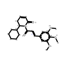 COc1cc(/C=C/C(=O)N2C(=O)C=CCC2C2CCCCC2)cc(OC)c1OC